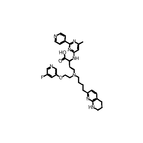 Cc1cc(NC(CCN(CCCCc2ccc3c(n2)NCCC3)CCOc2cncc(F)c2)C(=O)O)nc(-c2ccncc2)n1